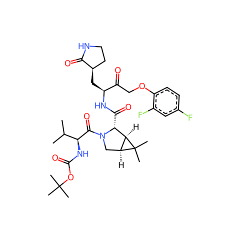 CC(C)[C@H](NC(=O)OC(C)(C)C)C(=O)N1C[C@H]2[C@@H]([C@H]1C(=O)N[C@@H](C[C@@H]1CCNC1=O)C(=O)COc1ccc(F)cc1F)C2(C)C